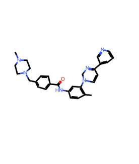 Cc1ccc(NC(=O)c2ccc(CN3CCN(C)CC3)cc2)cc1N1C=CC(c2cccnc2)=NC1